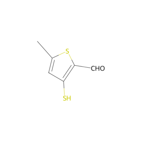 Cc1cc(S)c(C=O)s1